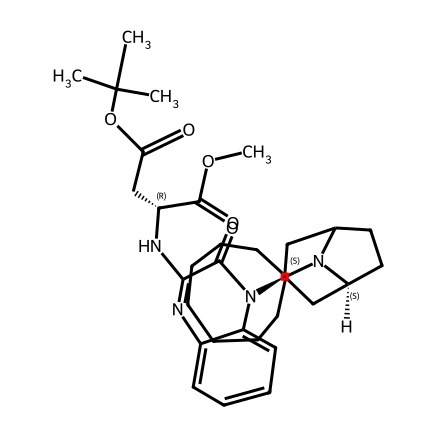 COC(=O)[C@@H](CC(=O)OC(C)(C)C)Nc1nc2ccccc2n([C@H]2CC3CC[C@@H](C2)N3C2CCCCCCC2)c1=O